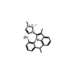 Cc1c(N2C=CN(C)[C@@H]2C)n2c3c(cccc13)C(C)c1cccc(C(C)C)c1-2